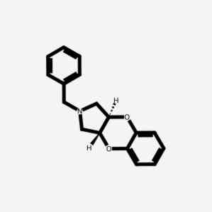 c1ccc(CN2C[C@H]3Oc4ccccc4O[C@@H]3C2)cc1